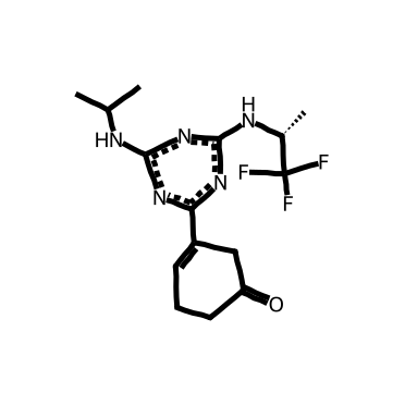 CC(C)Nc1nc(N[C@H](C)C(F)(F)F)nc(C2=CCCC(=O)C2)n1